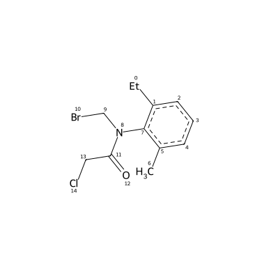 CCc1cccc(C)c1N(CBr)C(=O)CCl